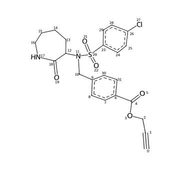 C#CCOC(=O)c1ccc(CN(C2CCCCNC2=O)S(=O)(=O)c2ccc(Cl)cc2)cc1